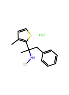 CCNC(C)(Cc1ccccc1)c1sccc1C.Cl